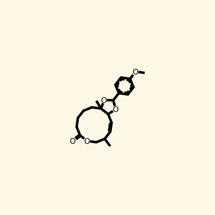 COc1ccc(C2OC3C=CC(C)COC(=O)CCCCC3(C)O2)cc1